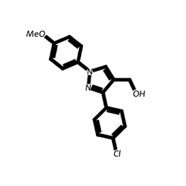 COc1ccc(-n2cc(CO)c(-c3ccc(Cl)cc3)n2)cc1